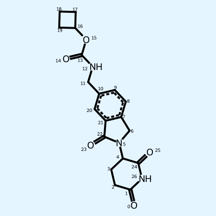 O=C1CCC(N2Cc3ccc(CNC(=O)OC4CCC4)cc3C2=O)C(=O)N1